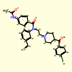 CC(=O)Nc1ccc(C(=O)N(CCN2CCC(C(=O)c3ccc(F)cc3)CC2)c2cccc(C=S)c2)cc1